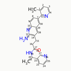 Cc1cccnc1-c1ccc2nc(N)c(CCC(=O)NC(C)c3cccnc3)cc2c1